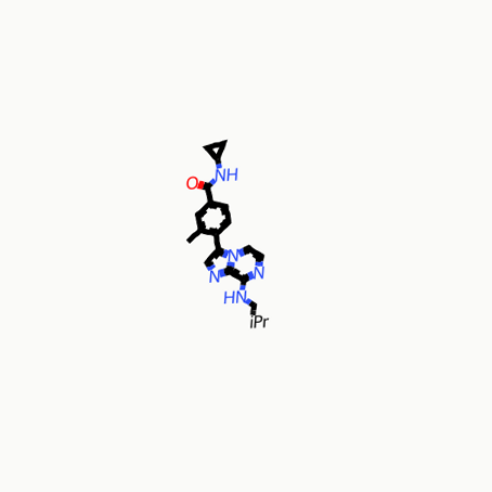 Cc1cc(C(=O)NC2CC2)ccc1-c1cnc2c(NCC(C)C)nccn12